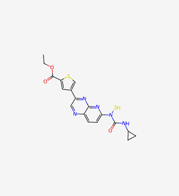 CCOC(=O)c1cc(-c2cnc3ccc(N(S)C(=O)NC4CC4)nc3n2)cs1